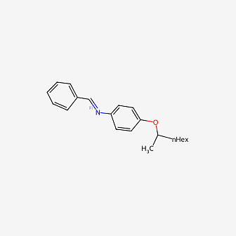 CCCCCCC(C)Oc1ccc(/N=C/c2ccccc2)cc1